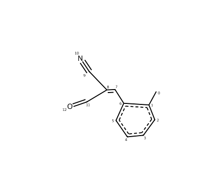 Cc1ccccc1C=C(C#N)C=O